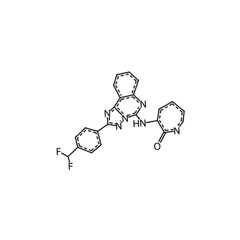 O=c1nccccc1Nc1nc2ccccc2c2nc(-c3ccc(C(F)F)cc3)nn12